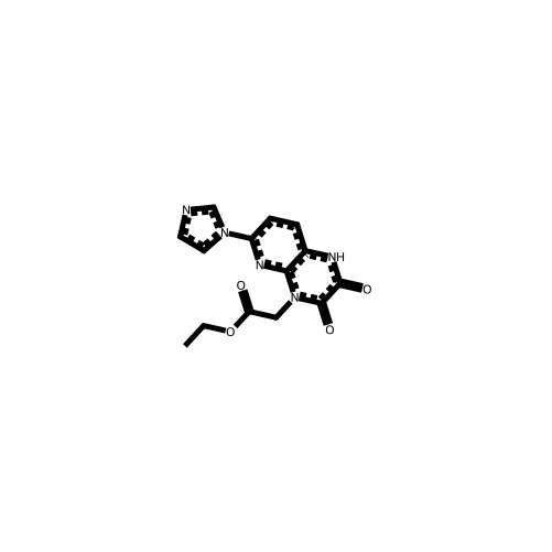 CCOC(=O)Cn1c(=O)c(=O)[nH]c2ccc(-n3ccnc3)nc21